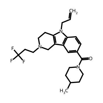 C=CCn1c2c(c3cc(C(=O)N4CCC(C)CC4)ccc31)CN(CCC(F)(F)F)CC2